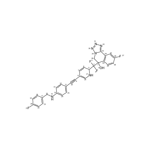 OC1(C(F)(F)C2C=CC(C#Cc3ccc(NCc4ccc(F)cc4)cc3)=CN2)Cn2nnnc2-c2cc(F)ccc21